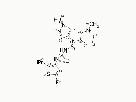 CCc1cc(NC(=O)NSN(c2cnn(C)c2)C2CCCN(C)C2)c(C(C)C)s1